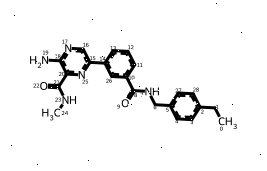 CCc1ccc(CNC(=O)c2cccc(-c3cnc(N)c(C(=O)NC)n3)c2)cc1